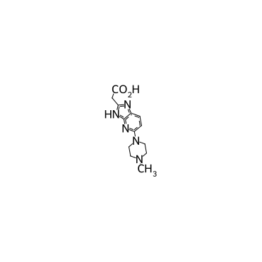 CN1CCN(c2ccc3nc(CC(=O)O)[nH]c3n2)CC1